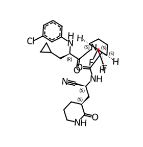 N#C[C@H](C[C@@H]1CCCNC1=O)NC(=O)[C@@H]1[C@@H]2CC[C@@H](CC2(F)F)N1C(=O)[C@@H](CC1CC1)Nc1cccc(Cl)c1